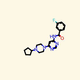 O=C(Nc1cc(N2CCN(C3CCCC3)CC2)ncn1)c1cccc(F)c1